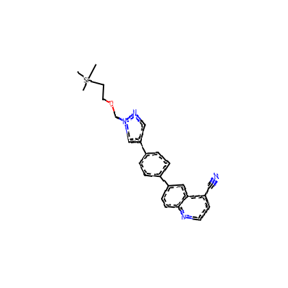 C[Si](C)(C)CCOCn1cc(-c2ccc(-c3ccc4nccc(C#N)c4c3)cc2)cn1